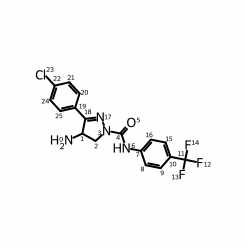 NC1CN(C(=O)Nc2ccc(C(F)(F)F)cc2)N=C1c1ccc(Cl)cc1